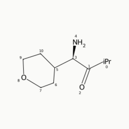 CC(C)C(=O)[C@H](N)C1CCOCC1